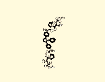 COC(=O)N[C@H](C(=O)N1CCC[C@H]1C(=O)Nc1ccc(C2CCC(c3ccc(NC(=O)[C@@H]4CCCN4C(=O)[C@@H](NC(=O)OC)C(C)C)cc3)N2c2ccccc2)cc1)C(C)C